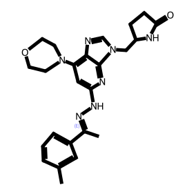 C/C(=N\Nc1cc(N2CCOCC2)c2ncn(CC3CCC(=O)N3)c2n1)c1cccc(C)c1